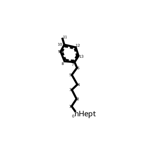 CCCCCCCCCCCCCc1ccc(C)cc1